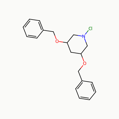 ClN1CC(OCc2ccccc2)CC(OCc2ccccc2)C1